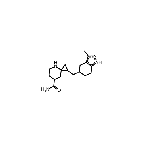 Cc1n[nH]c2c1C[C@H](CC1CC13CC(C(N)=O)CCN3)CC2